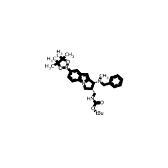 CN(Cc1ccccc1)[C@H]1c2cc3cc(B4OC(C)(C)C(C)(C)O4)ccc3n2C[C@H]1CNC(=O)OC(C)(C)C